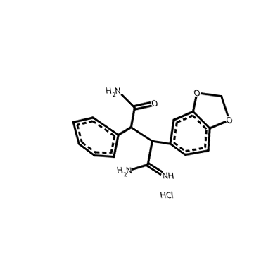 Cl.N=C(N)C(c1ccc2c(c1)OCO2)C(C(N)=O)c1ccccc1